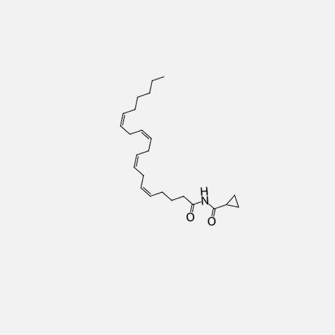 CCCCC/C=C\C/C=C\C/C=C\C/C=C\CCCC(=O)NC(=O)C1CC1